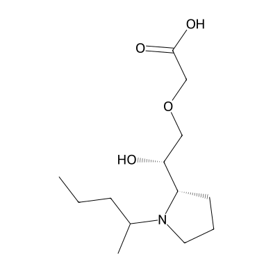 CCCC(C)N1CCC[C@H]1[C@H](O)COCC(=O)O